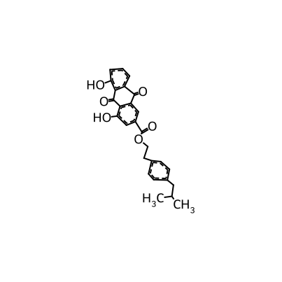 CC(C)Cc1ccc(CCOC(=O)c2cc(O)c3c(c2)C(=O)c2cccc(O)c2C3=O)cc1